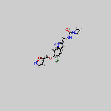 O=C(NCc1cc2cc(F)c(OCc3ccno3)cc2[nH]1)N1CCC1